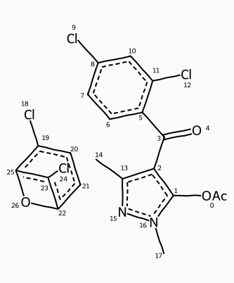 CC(=O)Oc1c(C(=O)c2ccc(Cl)cc2Cl)c(C)nn1C.Clc1ccc2c(Cl)c1O2